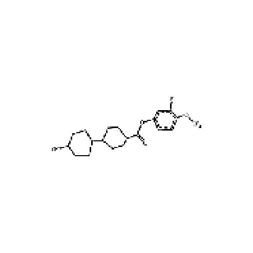 CCCC1CCC(C2CCC(C(=O)Oc3ccc(OC(F)(F)F)c(F)c3)CC2)CC1